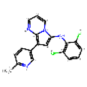 O=C(O)c1ccc(-c2cc(Nc3c(Cl)cccc3Cl)n3cccnc23)cn1